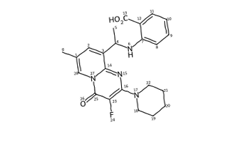 Cc1cc(C(C)Nc2ccccc2C(=O)O)c2nc(N3CCCCC3)c(F)c(=O)n2c1